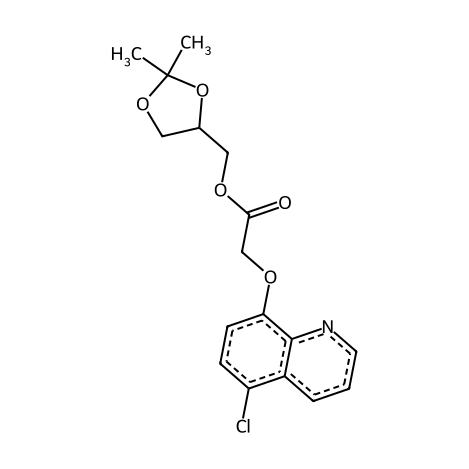 CC1(C)OCC(COC(=O)COc2ccc(Cl)c3cccnc23)O1